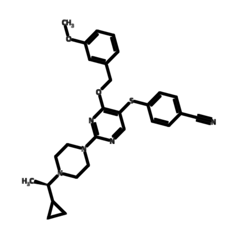 COc1cccc(COc2nc(N3CCN([C@H](C)C4CC4)CC3)ncc2Sc2ccc(C#N)cc2)c1